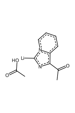 CC(=O)O.[Li][c]1nc(C(C)=O)c2ccccn12